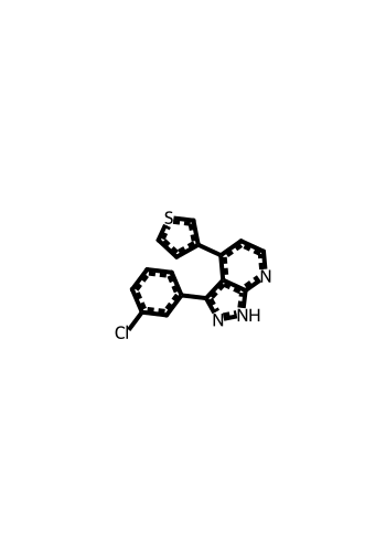 Clc1cccc(-c2n[nH]c3nccc(-c4ccsc4)c23)c1